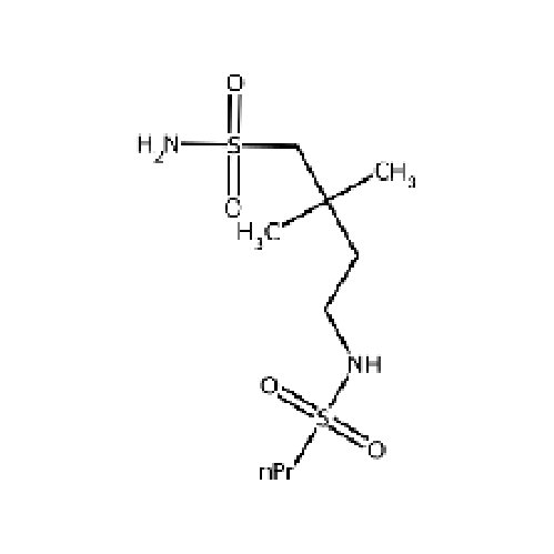 CCCS(=O)(=O)NCCC(C)(C)CS(N)(=O)=O